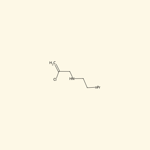 C=C(Cl)CNCCCCC